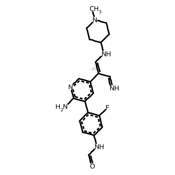 CN1CCC(N/C=C(\C=N)c2cnc(N)c(-c3ccc(NC=O)cc3F)c2)CC1